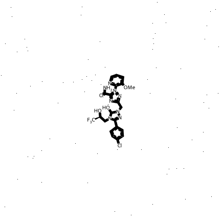 COc1cccnc1-n1nc(CN2N=C(c3ccc(Cl)cc3)N(C[C@H](O)C(F)(F)F)C2O)nc1C(N)=O